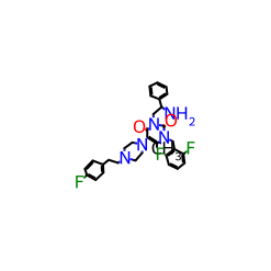 Cc1c(N2CCN(CCc3ccc(F)cc3)CC2)c(=O)n(CC(N)c2ccccc2)c(=O)n1Cc1c(F)cccc1F